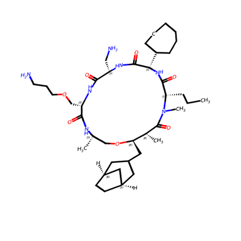 CCC[C@H]1C(=O)N[C@@H](C2CCCCCC2)C(=O)N[C@@H](CN)C(=O)N[C@@H](COCCCN)C(=O)N[C@@H](C)CO[C@H](CC2C[C@H]3CC[C@@H](C2)C3)[C@@H](C)C(=O)N1C